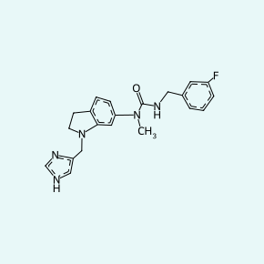 CN(C(=O)NCc1cccc(F)c1)c1ccc2c(c1)N(Cc1c[nH]cn1)CC2